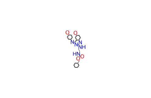 COc1ccc(N(C)c2nc(NCCNC(=O)OCc3ccccc3)nc3ccc(OC)cc23)cc1